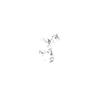 CCS(=O)(=O)c1ccc([C@H](CO)NC(=O)c2ccc(N3C[C@@H](Oc4ccc(C(F)(F)F)cc4)C[C@H]3CCOC(F)F)cc2)cc1